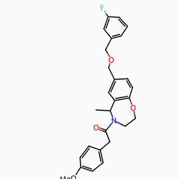 COc1ccc(CC(=O)N2CCOc3ccc(COCc4cccc(F)c4)cc3C2C)cc1